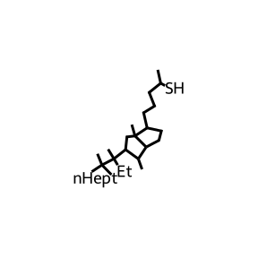 CCCCCCCC(C)(C)C(C)(CC)C1CC2(C)C(CCCC(C)S)CCC2C1C